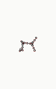 c1ccc(-c2ccc(-c3ccc(N(c4ccc(-c5ccc(-c6ccccc6)cc5)cc4)c4ccc(-c5ccc(-c6ccc7c(c6)c6cc(-c8ccc(-c9cccc%10c9oc9ccccc9%10)cc8)ccc6n7-c6ccccc6)cc5)cc4)cc3)cc2)cc1